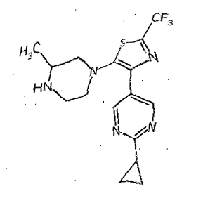 CC1CN(c2sc(C(F)(F)F)nc2-c2cnc(C3CC3)nc2)CCN1